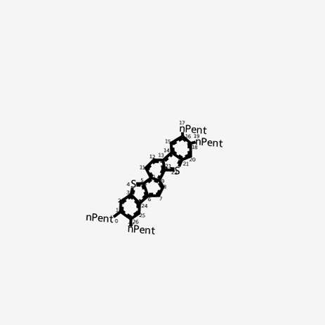 CCCCCc1cc2sc3c(ccc4c3ccc3c5cc(CCCCC)c(CCCCC)cc5sc34)c2cc1CCCCC